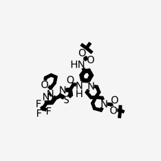 CC(C)(C)OC(=O)Nc1ccc(N2CCC3(CCCN(C(=O)OC(C)(C)C)C3)CC2)c(NC(=O)c2csc(-c3cc(C(F)(F)F)nn3C3CCCCO3)n2)c1